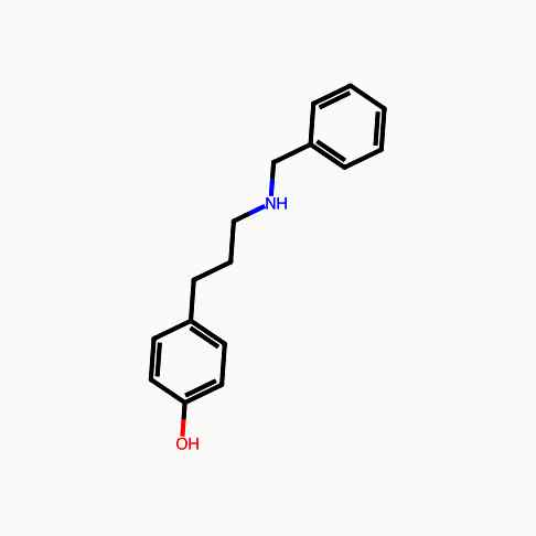 Oc1ccc(CCCNCc2ccccc2)cc1